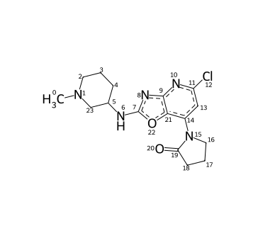 CN1CCCC(Nc2nc3nc(Cl)cc(N4CCCC4=O)c3o2)C1